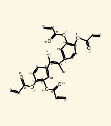 C=CC(=O)Oc1ccc(/C(C)=C(\CC)c2ccc(OC(=O)C=C)c(OC(=O)C=C)c2)cc1OC(=O)C=C